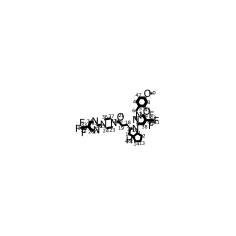 COc1ccc(Cn2nc(N3C4CCC[C@H]4C[C@H]3CCC(=O)N3CCN(c4ncc(C(F)(F)F)cn4)CC3)cc(C(F)(F)F)c2=O)cc1